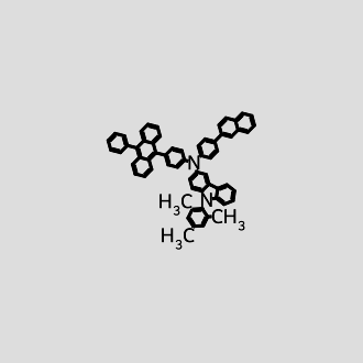 Cc1cc(C)c(-n2c3ccccc3c3cc(N(c4ccc(-c5ccc6ccccc6c5)cc4)c4ccc(-c5c6ccccc6c(-c6ccccc6)c6ccccc56)cc4)ccc32)c(C)c1